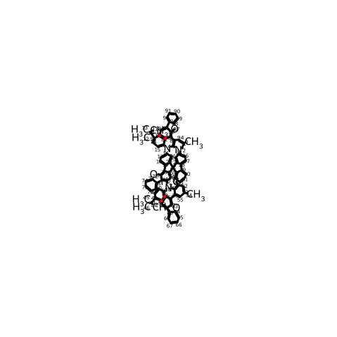 Cc1cnc(N(c2ccc(C(C)(C)C)cc2)c2ccc3c(c2)C2(c4ccccc4-c4ccccc42)c2cc(N(c4ccc(C(C)(C)C)cc4)c4c(C)cc(C)cc4-c4cccc5c4oc4ccccc45)c4c(oc5ccccc54)c2-3)c(-c2cccc3c2oc2ccccc23)c1